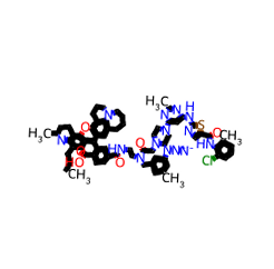 CCCCc1cc2c(c3c1=NC(C)CC3)Oc1c(cc3c4c1CCCN4CCCC3)C=2c1cc(C(=O)NCCN(Cc2cc(C)cc(N=[N+]=[N-])c2)C(=O)CN2CCN(c3cc(Nc4ncc(C(=O)Nc5c(C)cccc5Cl)s4)nc(C)n3)CC2)ccc1C(=O)O